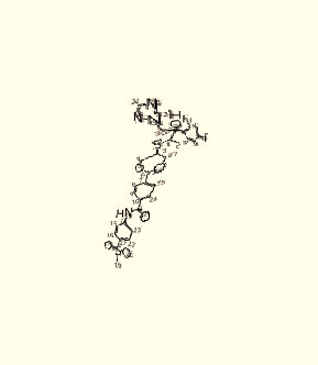 CC(SC1COC(c2ccc(C(=O)Nc3ccc(S(C)(=O)=O)cc3)cc2)OC1)C(O)(Cn1cncn1)c1ccc(F)cc1F